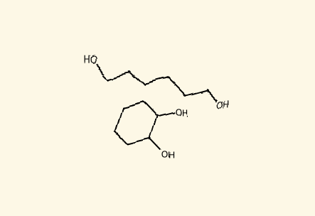 OC1CCCCC1O.OCCCCCCO